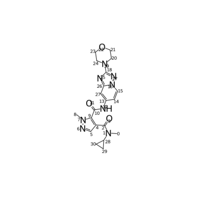 CN(C(=O)c1cnn(C)c1C(=O)Nc1ccn2nc(N3CCOCC3)nc2c1)C1CC1